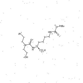 CC(C)CCN(CCO)C(=O)N[C@@H](CCCCNC(=O)OC(C)(C)C)C(=O)O